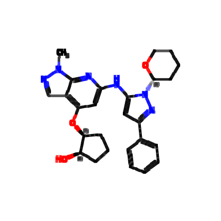 Cn1ncc2c(O[C@H]3CCC[C@H]3O)cc(Nc3cc(-c4ccccc4)nn3[C@H]3CCCCO3)nc21